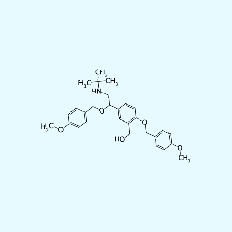 COc1ccc(COc2ccc(C(CNC(C)(C)C)OCc3ccc(OC)cc3)cc2CO)cc1